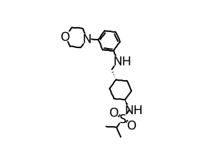 CC(C)S(=O)(=O)N[C@H]1CC[C@H](CNc2cccc(N3CCOCC3)c2)CC1